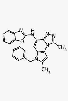 Cc1cc2c(cc(Nc3nc4ccccc4o3)c3nnc(C)n32)n1Cc1ccccc1